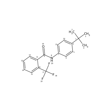 CC(C)(C)c1ccc(NC(=O)c2ccccc2C(F)(F)F)cc1